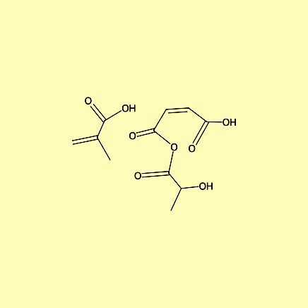 C=C(C)C(=O)O.CC(O)C(=O)OC(=O)/C=C\C(=O)O